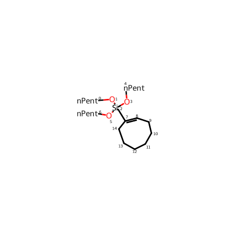 CCCCCO[Si](OCCCCC)(OCCCCC)/C1=C/CCCCCC1